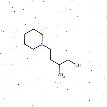 CCC(C)CCN1CCCCC1